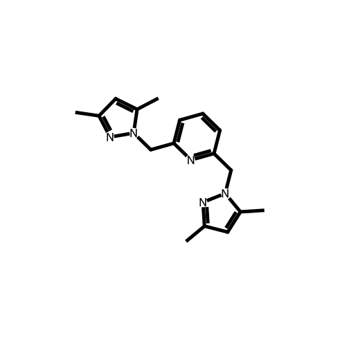 Cc1cc(C)n(Cc2cccc(Cn3nc(C)cc3C)n2)n1